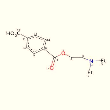 CCN(CC)CCOC(=O)c1ccc(C(=O)O)cc1